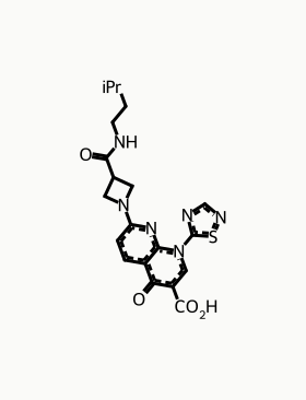 CC(C)CCNC(=O)C1CN(c2ccc3c(=O)c(C(=O)O)cn(-c4ncns4)c3n2)C1